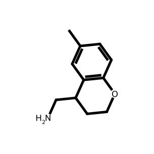 Cc1ccc2c(c1)C(CN)CCO2